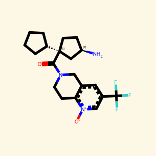 N[C@@H]1CC[C@@](C(=O)N2CCc3c(cc(C(F)(F)F)c[n+]3[O-])C2)(C2CCCC2)C1